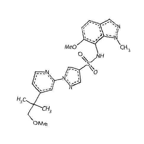 COCC(C)(C)c1ccnc(-n2cc(S(=O)(=O)Nc3c(OC)ccc4cnn(C)c34)cn2)c1